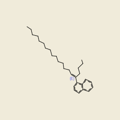 CCCCCCCCCCCCCC/C=C(\CCCC)c1cccc2ccccc12